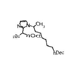 CCCCCCCCCCCCCCCCC(C)n1ccnc1C(CCCC)CCCCCCCC